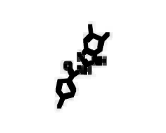 Cc1ccc(C(=O)Nc2nc3cc(C)c(C)cc3[nH]2)cc1